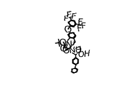 CC(C)(C)OC(=O)[N+]1(C(=O)NCC(C(=O)O)c2ccc(-c3ccccc3)cc2)CCc2ccc(Oc3cc(C(F)(F)F)cc(C(F)(F)F)c3)cc2C1